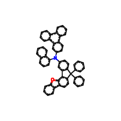 c1ccc(C2(c3ccccc3)c3ccc(N(c4ccc5c6ccccc6c6ccccc6c5c4)c4cccc5ccccc45)cc3-c3c2ccc2c3oc3ccccc32)cc1